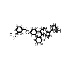 FC(F)(F)c1cccc(COc2ccc(-c3cnc4c(-c5nnn[nH]5)cnn4c3C3CCCCC3)cc2)c1